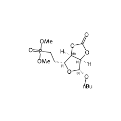 CCCCO[C@@H]1O[C@H](CCP(=O)(OC)OC)[C@H]2OC(=O)O[C@@H]12